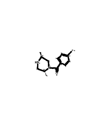 C[C@@H]1CN[C@@H](C)CN1C(=O)c1ccc(F)cc1